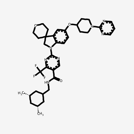 C[C@@H]1CC(CNC(=O)c2cnc(N3CC4(CCOCC4)c4cc(OC5CCN(c6ncccn6)CC5)ccc43)nc2C(F)(F)F)C[C@H](C)C1